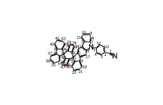 N#Cc1ccc(-n2c3ccccc3c3cc4c(cc32)-c2ccccc2C42c3ccccc3C3(c4ccccc4-c4ccccc43)c3ccccc32)cc1